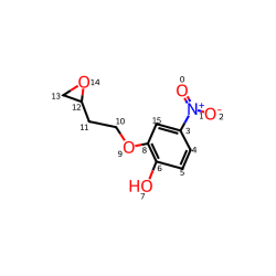 O=[N+]([O-])c1ccc(O)c(OCCC2CO2)c1